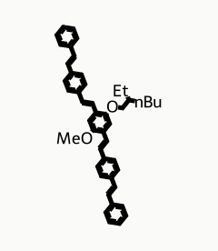 CCCCC(CC)COc1cc(C=Cc2ccc(C=Cc3ccccc3)cc2)c(OC)cc1C=Cc1ccc(C=Cc2ccccc2)cc1